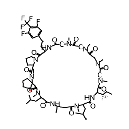 CC[C@H](C)C1NC(=O)C(CC(C)C)N(C)C(=O)CC(C)NC(=O)C(CC(C)C)N(C)C(=O)C2(CCCC2)NC(=O)C2CCCN2C(=O)C(CCc2cc(F)c(C(F)(F)F)c(F)c2)NC(=O)CN(C)C(=O)CN(C)C(=O)CN(C)C(=O)CN(C)C1=O